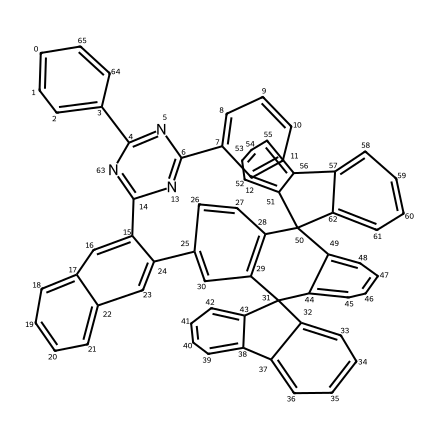 c1ccc(-c2nc(-c3ccccc3)nc(-c3cc4ccccc4cc3-c3ccc4c(c3)C3(c5ccccc5-c5ccccc53)c3ccccc3C43c4ccccc4-c4ccccc43)n2)cc1